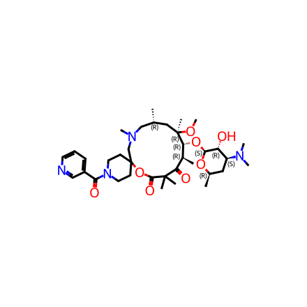 CO[C@]1(C)C[C@@H](C)CN(C)CC2(CCN(C(=O)c3cccnc3)CC2)OC(=O)C(C)(C)C(=O)[C@H](C)[C@H]1O[C@@H]1O[C@H](C)C[C@H](N(C)C)[C@H]1O